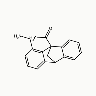 CC(=O)C12CC(c3ccccc31)c1cccc(CN)c12